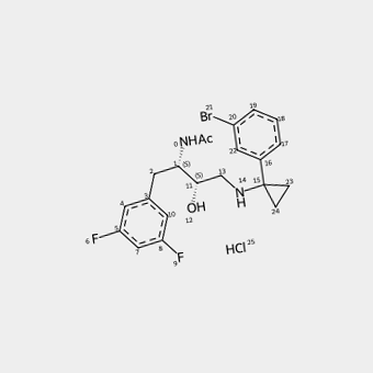 CC(=O)N[C@@H](Cc1cc(F)cc(F)c1)[C@@H](O)CNC1(c2cccc(Br)c2)CC1.Cl